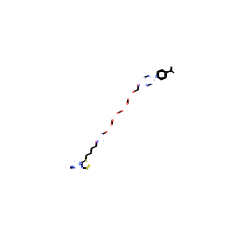 C=C1NC2CSC(CCCCC(=O)NCCOCCOCCOCCOCCC(=O)N3CCN(c4ccc(C(C)C)cc4)CC3)C2N1